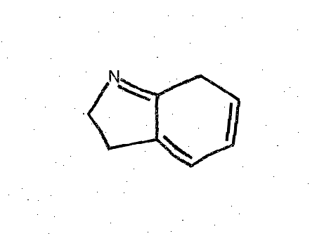 [CH]1CC2=CC=CCC2=N1